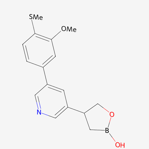 COc1cc(-c2cncc(C3COB(O)C3)c2)ccc1SC